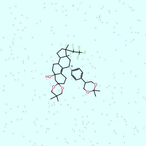 CC1(C)COC2(CCC3=C4C(CCC3(O)C2)C2CCC(C)(C(F)(F)C(F)(F)F)C2(C)C[C@@H]4c2ccc(C3COC(C)(C)OC3)cc2)OC1